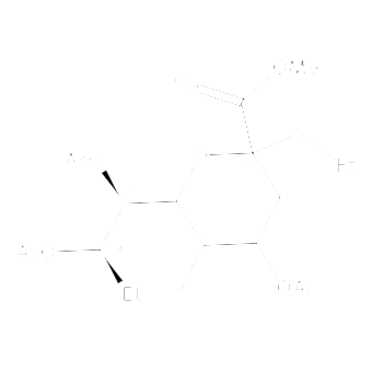 CCSC1(C(=O)OC)CC(OC(C)=O)C(C)C([C@H](OC(C)=O)[C@@H](CC)OC(C)=O)O1